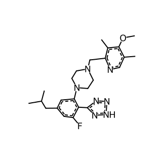 COc1c(C)cnc(CN2CCN(c3cc(CC(C)C)cc(F)c3-c3nn[nH]n3)CC2)c1C